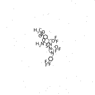 CCS(=O)(=O)c1ccc([C@@H](COC(F)F)c2nc(N3CCN(Cc4ccc(C(F)(F)F)cc4)C[C@H]3COC(F)F)sc2C(N)=O)cc1